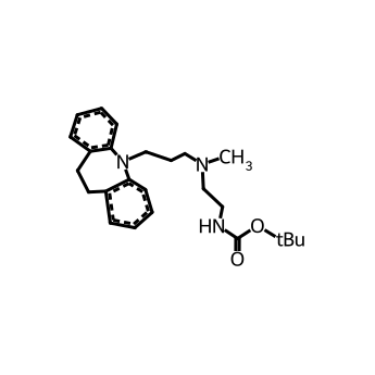 CN(CCCN1c2ccccc2CCc2ccccc21)CCNC(=O)OC(C)(C)C